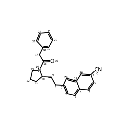 N#Cc1ccc2ccc(CC[C@H]3CCCN3C(=O)Cc3ccccc3)cc2c1